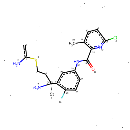 C=C(N)SCC[C@@](N)(CC)c1cc(NC(=O)c2nc(Cl)ccc2C(F)(F)F)ccc1F